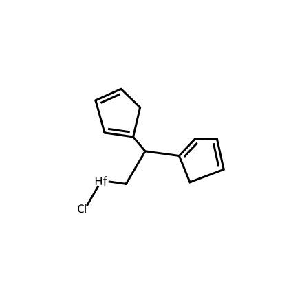 [Cl][Hf][CH2]C(C1=CC=CC1)C1=CC=CC1